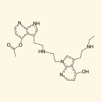 CCNCCc1cn(CCNCCc2c[nH]c3nccc(OC(C)=O)c23)c2nccc(O)c12